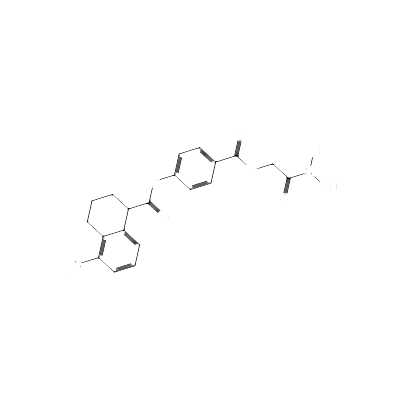 CN(C)C(=O)COC(=O)c1ccc(OC(=O)C2CCCc3c(N)cccc32)cc1